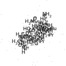 CC[C@H](C)[C@H](NC(=O)[C@H](CC(C)C)NC(=O)[C@@H]1CCCN1C(=O)[C@@H](NC(=O)[C@@H]1CCCN1C(=O)[C@H](CCC(=O)O)NC(=O)[C@H](C)NC(=O)[C@H](C)NC(=O)[C@@H]1CCCN1)C(C)C)C(=O)N[C@@H](CCCCN)C(=O)N[C@@H](CCC(N)=O)C(=O)N[C@@H](CC(=O)O)C(=O)O